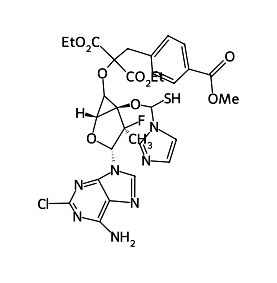 CCOC(=O)C(Cc1ccc(C(=O)OC)cc1)(OC1[C@H]2O[C@@H](n3cnc4c(N)nc(Cl)nc43)[C@](C)(F)[C@@]12OC(S)n1ccnc1)C(=O)OCC